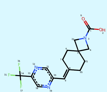 O=C(O)N1CC2(CCC(=Cc3cnc(C(F)(F)F)cn3)CC2)C1